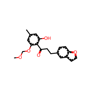 COCOc1cc(C)cc(O)c1C(=O)CCc1ccc2occc2c1